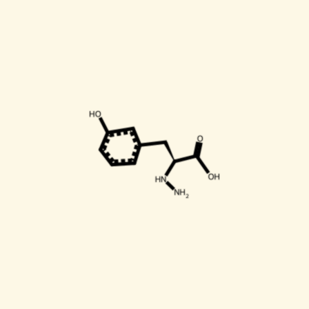 NN[C@@H](Cc1cccc(O)c1)C(=O)O